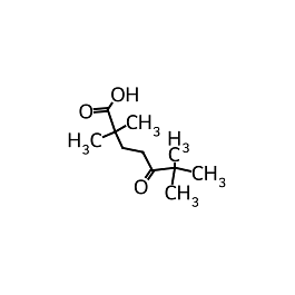 CC(C)(C)C(=O)CCC(C)(C)C(=O)O